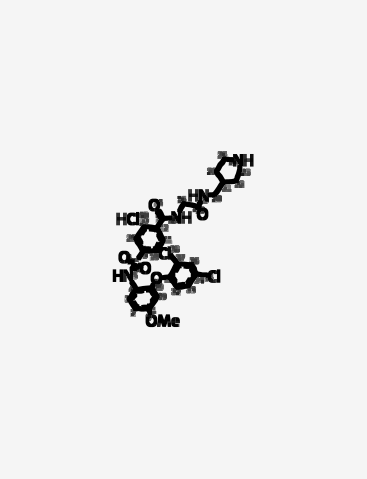 COc1ccc(NS(=O)(=O)c2ccc(C(=O)NCC(=O)NCC3CCNCC3)cc2)c(Oc2ccc(Cl)cc2Cl)c1.Cl